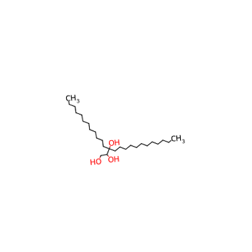 CCCCCCCCCCCCC(O)(CCCCCCCCCCCC)C(O)CO